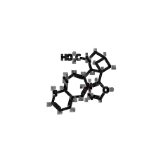 O=C(O)N1CC2CC(c3nnco3)(C2)C1C1=CN=C2SC=CC=C2C=C1